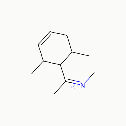 C/N=C(/C)C1C(C)C=CCC1C